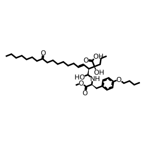 CCCCCCCC(=O)CCCCCC/C=C/[C@H](C(O)N[C@@H](Cc1ccc(OCCCC)cc1)C(=O)OC)[C@@](O)(CCC)C(=O)O